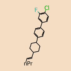 CCC/C=C/C1CCC(c2ccc(-c3ccc(Cl)c(F)c3)cc2)CC1